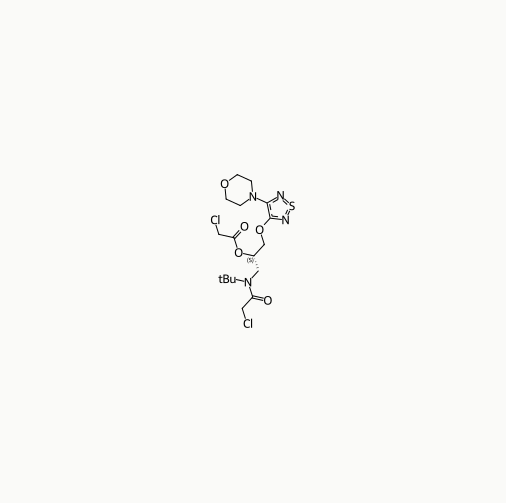 CC(C)(C)N(C[C@@H](COc1nsnc1N1CCOCC1)OC(=O)CCl)C(=O)CCl